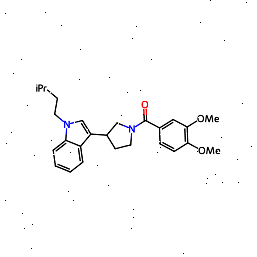 COc1ccc(C(=O)N2CCC(c3cn(CCC(C)C)c4ccccc34)C2)cc1OC